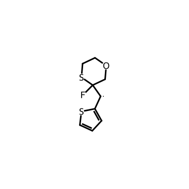 FC1([CH]c2cccs2)COCCS1